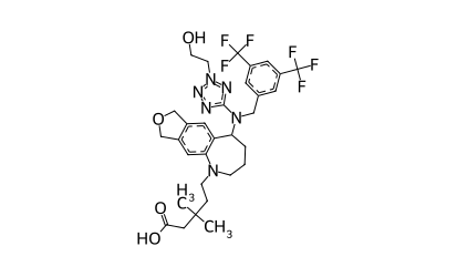 CC(C)(CCN1CCCC(N(Cc2cc(C(F)(F)F)cc(C(F)(F)F)c2)c2nnn(CCO)n2)c2cc3c(cc21)COC3)CC(=O)O